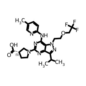 Cc1ccc(Nc2nc(N3CC[C@H](C(=O)O)C3)nc3c(C(C)C)nn(CCOCC(F)(F)F)c23)nc1